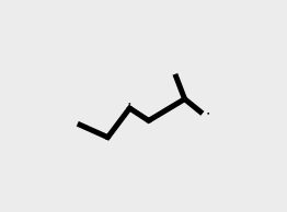 [CH2]C(C)C[CH]CC